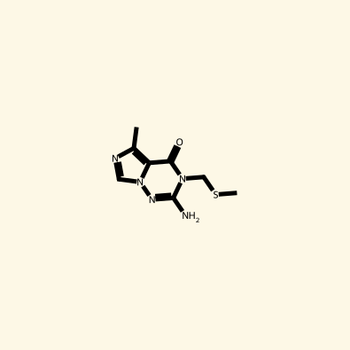 CSCn1c(N)nn2cnc(C)c2c1=O